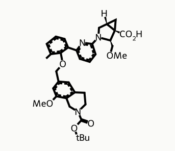 COC[C@H]1N(c2cccc(-c3cccc(C)c3OCc3cc4c(c(OC)c3)CN(C(=O)OC(C)(C)C)CC4)n2)C[C@@H]2C[C@@]21C(=O)O